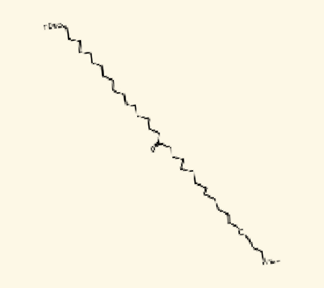 CCCCCCCCCCCCCCCCCCCCCCCCCCCC(=O)CCCCCCCCCCCCCCCCCCCCCCCCCCC